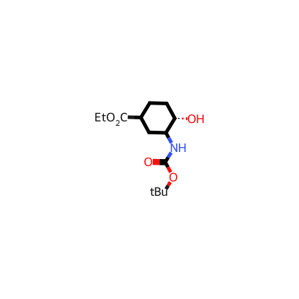 CCOC(=O)C1CC[C@H](O)C(NC(=O)OC(C)(C)C)C1